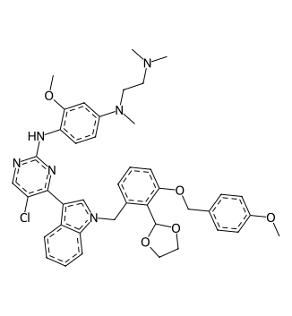 COc1ccc(COc2cccc(Cn3cc(-c4nc(Nc5ccc(N(C)CCN(C)C)cc5OC)ncc4Cl)c4ccccc43)c2C2OCCO2)cc1